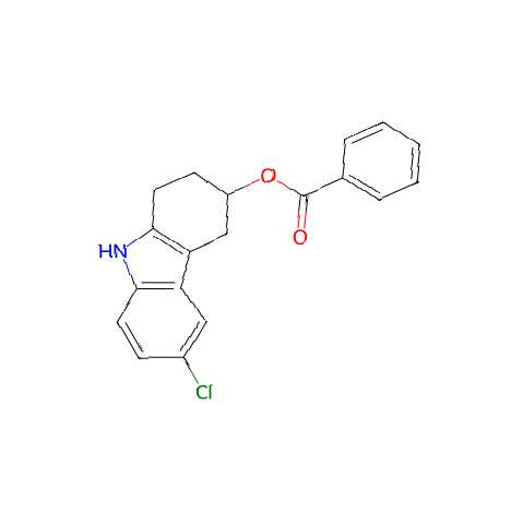 O=C(OC1CCc2[nH]c3ccc(Cl)cc3c2C1)c1ccccc1